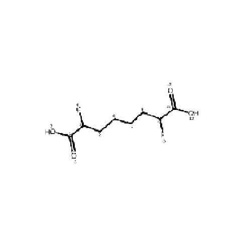 O=C(O)C(F)CCCCC(F)C(=O)O